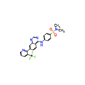 CN(C)S(=O)(=O)c1ccc(Nc2ncnc3cc(-c4ncccc4C(F)(F)F)ccc23)cc1